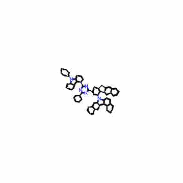 c1ccc(-c2nc(-c3cc4c(c(-n5c6cc7ccccc7cc6c6c7ccccc7ccc65)c3)-c3cc5ccccc5cc3C4)nc(-c3cccc4c3c3ccccc3n4-c3ccccc3)n2)cc1